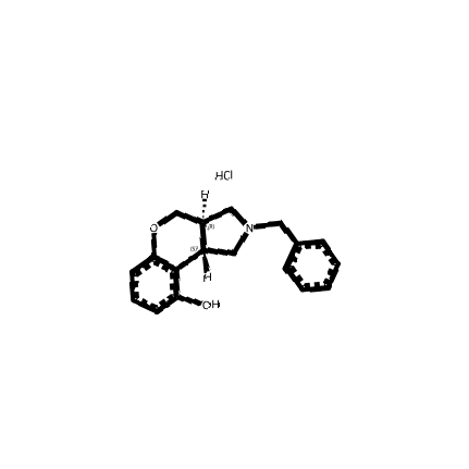 Cl.Oc1cccc2c1[C@H]1CN(Cc3ccccc3)C[C@@H]1CO2